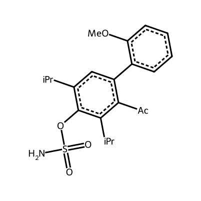 COc1ccccc1-c1cc(C(C)C)c(OS(N)(=O)=O)c(C(C)C)c1C(C)=O